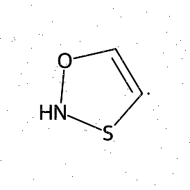 [C]1=CONS1